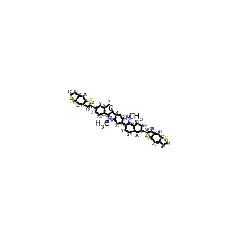 Cn1c2cc3c4ccc5cc(-c6cc7cc8sccc8cc7s6)ccc5c4n(C)c3cc2c2ccc3cc(-c4cc5cc6sccc6cc5s4)ccc3c21